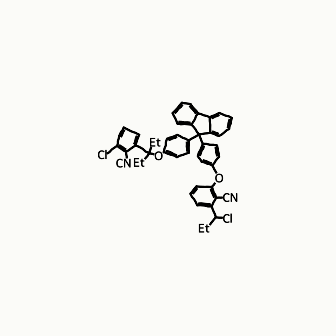 CCC(Cl)c1cccc(Oc2ccc(C3(c4ccc(OC(CC)(CC)c5cccc(Cl)c5C#N)cc4)c4ccccc4-c4ccccc43)cc2)c1C#N